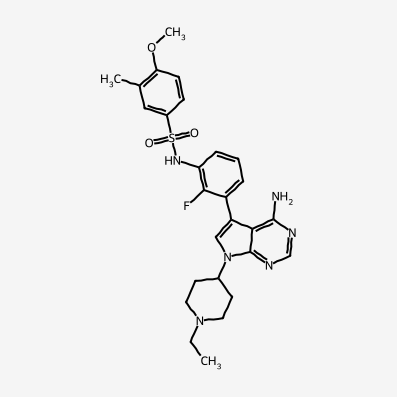 CCN1CCC(n2cc(-c3cccc(NS(=O)(=O)c4ccc(OC)c(C)c4)c3F)c3c(N)ncnc32)CC1